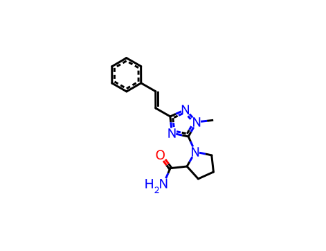 Cn1nc(C=Cc2ccccc2)nc1N1CCCC1C(N)=O